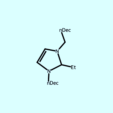 CCCCCCCCCCCN1C=CN(CCCCCCCCCC)C1CC